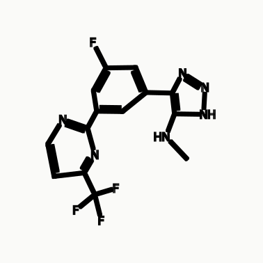 CNc1[nH]nnc1-c1cc(F)cc(-c2nccc(C(F)(F)F)n2)c1